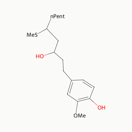 CCCCCC(CC(O)CCc1ccc(O)c(OC)c1)SC